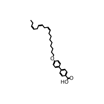 CC/C=C\C/C=C\C/C=C\CCCCCCCCOc1ccc(-c2ccc(C(=O)O)cc2)cc1